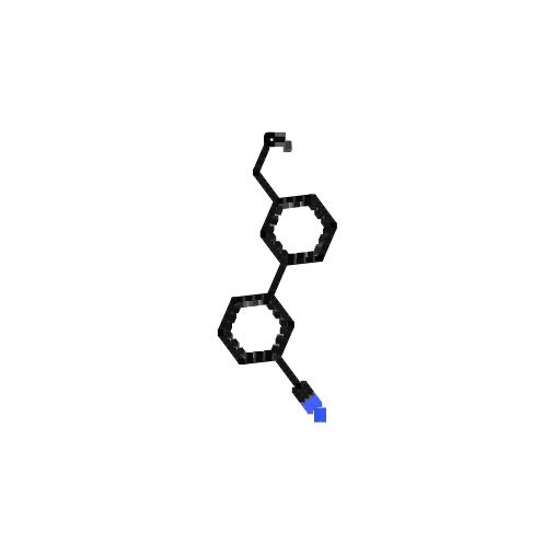 CCc1cccc(-c2cccc(C#N)c2)c1